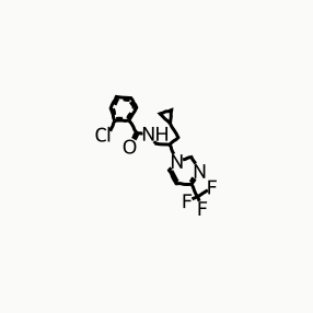 O=C(NCC(CC1CC1)N1C=CC(C(F)(F)F)=NC1)c1ccccc1Cl